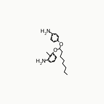 CCCCCCCC(Oc1ccc(N)cc1)Oc1cccc(N)c1C